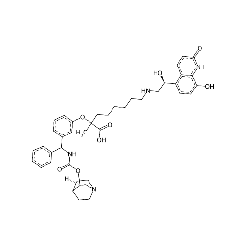 CC(CCCCCCNC[C@@H](O)c1ccc(O)c2[nH]c(=O)ccc12)(Oc1cccc(C(NC(=O)O[C@H]2CN3CCC2CC3)c2ccccc2)c1)C(=O)O